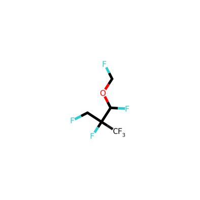 FCOC(F)C(F)(CF)C(F)(F)F